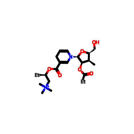 CCC(=O)O[C@@H]1[C@H](C)[C@@H](CO)O[C@H]1N1C=CCC(C(=O)O[C@H](CC)C[N+](C)(C)C)=C1